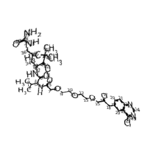 CC(C)[C@H](NC(=O)COCCOCCOCC(=O)Cc1ccc2ncnc(Cl)c2c1)C(=O)N[C@@H](CCCNC(N)=O)C(=O)C(C)(C)C